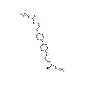 C/C=C/C(=O)O/C=C\Oc1ccc(-c2ccc(O/C=C\OC(O)/C=C/C)cc2)cc1